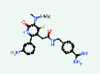 CNN(C)c1c(F)c(CC(=O)NCc2ccc(C(=N)N)cc2)c(-c2cccc(N)c2)[nH]c1=O